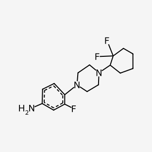 Nc1ccc(N2CCN(C3CCCCC3(F)F)CC2)c(F)c1